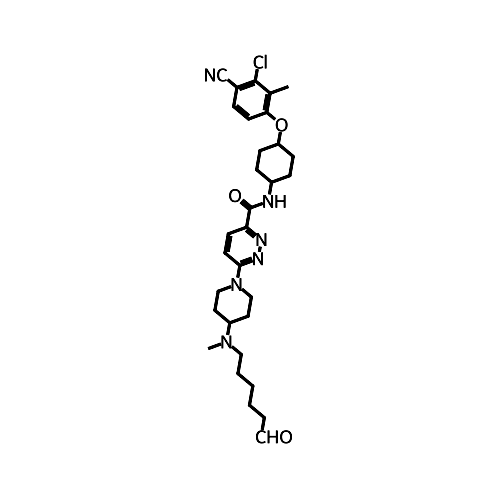 Cc1c(OC2CCC(NC(=O)c3ccc(N4CCC(N(C)CCCCCC=O)CC4)nn3)CC2)ccc(C#N)c1Cl